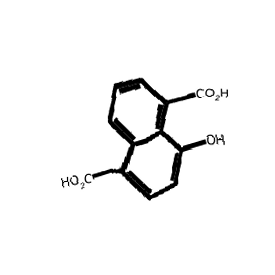 O=C(O)c1ccc(O)c2c(C(=O)O)cccc12